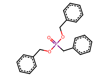 O=P([CH]c1ccccc1)(OCc1ccccc1)OCc1ccccc1